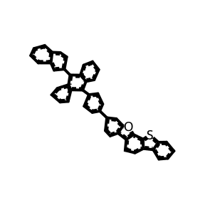 c1ccc2cc(-c3c4ccccc4c(-c4ccc(-c5ccc6c(c5)oc5c6ccc6c7ccccc7sc65)cc4)c4ccccc34)ccc2c1